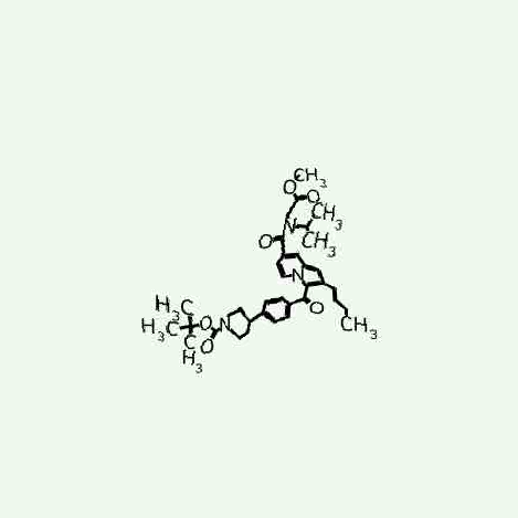 CCCCc1cc2cc(C(=O)N(CC(=O)OC)C(C)C)ccn2c1C(=O)c1ccc(C2CCN(C(=O)OC(C)(C)C)CC2)cc1